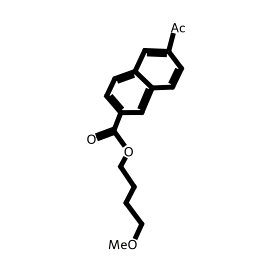 COCCCCOC(=O)c1ccc2cc(C(C)=O)ccc2c1